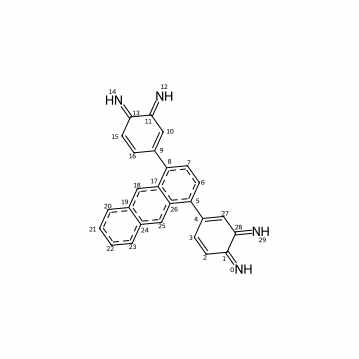 N=C1C=CC(c2ccc(C3=CC(=N)C(=N)C=C3)c3cc4ccccc4cc23)=CC1=N